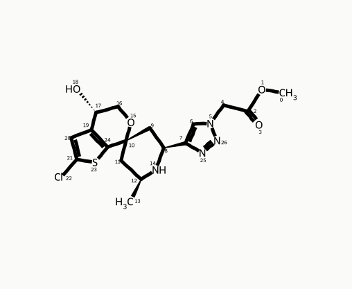 COC(=O)Cn1cc([C@@H]2C[C@]3(C[C@H](C)N2)OC[C@@H](O)c2cc(Cl)sc23)nn1